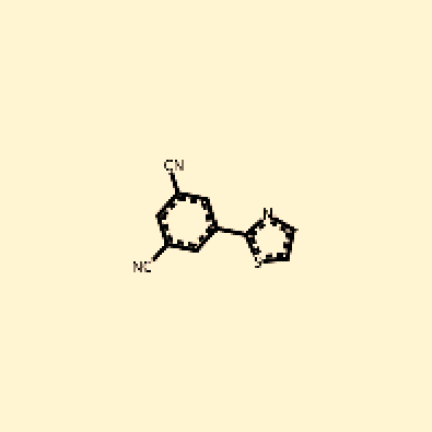 N#Cc1cc(C#N)cc(-c2n[c]cs2)c1